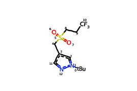 CC(C)(C)n1cc(CS(=O)(=O)CCC(F)(F)F)cn1